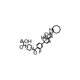 C=C(/C=C\C(=C\N/C1=C/CCCCCC1)NC)c1ccc(C(=O)N2CCN(C(=O)C3(O)CC3)CC2)c(F)c1